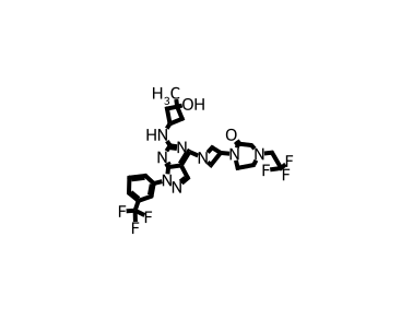 CC1(O)CC(Nc2nc(N3CC(N4CCN(CC(F)(F)F)CC4=O)C3)c3cnn(-c4cccc(C(F)(F)F)c4)c3n2)C1